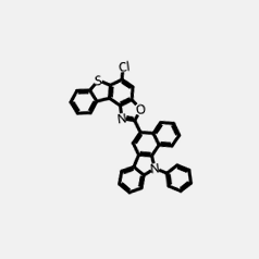 Clc1cc2oc(-c3cc4c5ccccc5n(-c5ccccc5)c4c4ccccc34)nc2c2c1sc1ccccc12